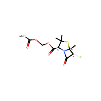 COC(=O)OCOC(=O)[C@@H]1N2C(=O)[C@@H](F)[C@H]2SC1(C)C